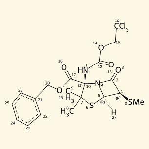 CS[C@@H]1C(=O)N2[C@@H]1SC(C)(C)[C@]2(NC(=O)OCC(Cl)(Cl)Cl)C(=O)OCc1ccccc1